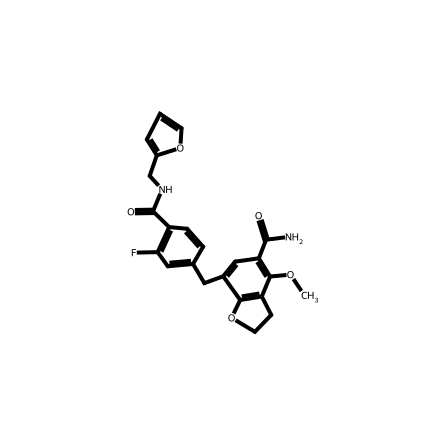 COc1c(C(N)=O)cc(Cc2ccc(C(=O)NCc3ccco3)c(F)c2)c2c1CCO2